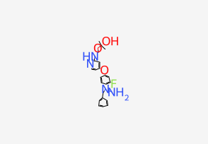 CC(C)(O)OCNc1cc(Oc2ccc(N(N)Cc3ccccc3)c(F)c2)ccn1